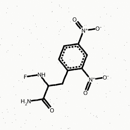 NC(=O)C(Cc1ccc([N+](=O)[O-])cc1[N+](=O)[O-])NF